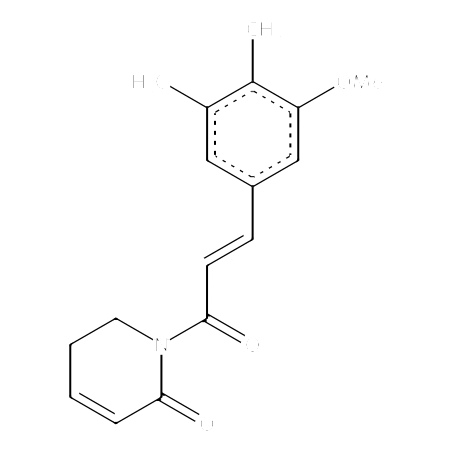 COc1cc(/C=C/C(=O)N2CCC=CC2=O)cc(C)c1C